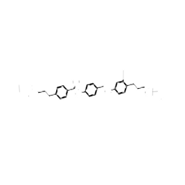 C=CCCc1ccc(C(=O)Oc2ccc(COc3ccc(CCC=C)c(F)c3)cc2)cc1